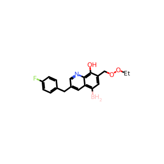 Bc1cc(COOCC)c(O)c2ncc(Cc3ccc(F)cc3)cc12